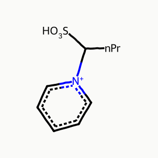 CCCC([n+]1ccccc1)S(=O)(=O)O